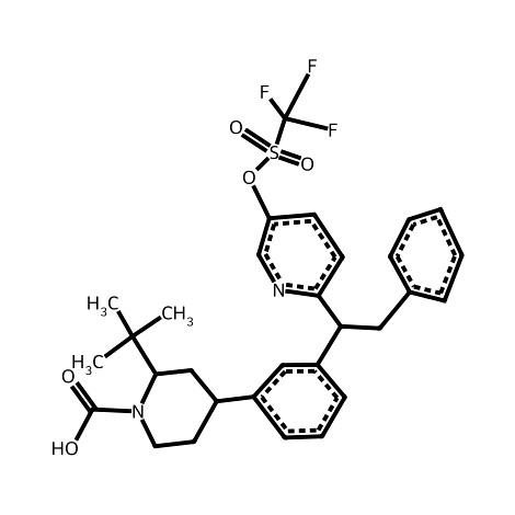 CC(C)(C)C1CC(c2cccc(C(Cc3ccccc3)c3ccc(OS(=O)(=O)C(F)(F)F)cn3)c2)CCN1C(=O)O